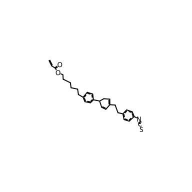 C=CC(=O)OCCCCCCc1ccc(C2C=CC(CCc3ccc(N=C=S)cc3)=CC2)cc1